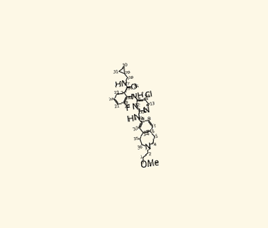 COCCN1CCc2ccc(Nc3ncc(Cl)c(Nc4c(F)cccc4C(=O)NCC4CC4)n3)cc2CC1